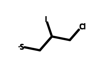 [S]CC(I)CCl